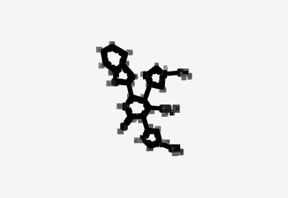 Cn1cnc(-c2c(-c3cc4ccccc4o3)oc(=O)c(-c3cn(C)cn3)c2C(=O)O)c1